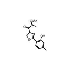 CON(C)C(=O)C1CSC(c2ccc(C)cc2O)=N1